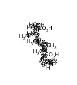 Cc1c(-c2ccc(N3CCc4cccc(C(=O)Nc5nc6ccccc6s5)c4C3)nc2C(=O)O)cnn1CC12CC3(C)CC(C)(C1)CC(OCCN(C)C(=O)OCc1ccc(O[C@@H]4O[C@H](C(=O)O)[C@@H](O)[C@H](O)[C@H]4O)c(NCCCN)c1)(C3)C2